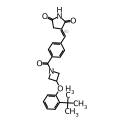 CC(C)(C)c1ccccc1OC1CN(C(=O)c2ccc(/C=C3\CC(=O)NC3=O)cc2)C1